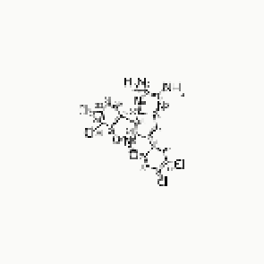 Nc1nc2cc(-c3ccc(Cl)c(Cl)c3)c([N+](=O)[O-])c(-c3ccc(Cl)c(Cl)c3)c2nc1N